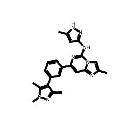 Cc1cn2c(Nc3cc(C)[nH]n3)nc(-c3cccc(-c4c(C)nn(C)c4C)c3)cc2n1